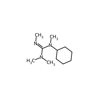 C/N=C(/N(C)C)N(C)C1CCCCC1